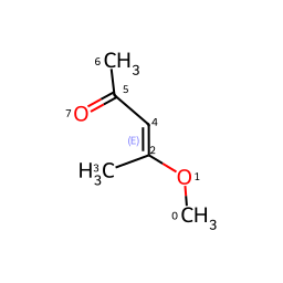 CO/C(C)=C/C(C)=O